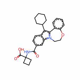 O=C(NC1(C(=O)O)CCC1)c1ccc2c(C3CCCCC3)c3n(c2c1)CCOc1ccccc1-3